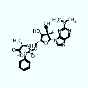 C#C[C@@]1(F)[C@H](O)[C@@H](COP(=O)(N[C@@H](C)C(=O)O)Oc2ccccc2)O[C@H]1n1cnc2cnc(N(C)C)nc21